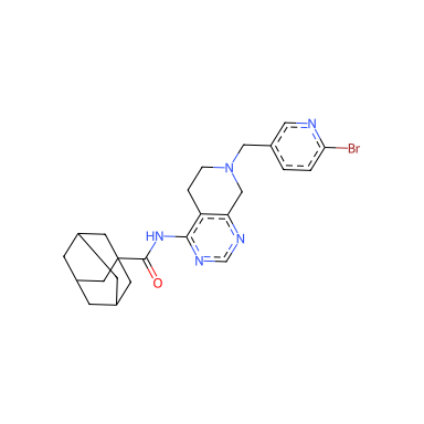 O=C(Nc1ncnc2c1CCN(Cc1ccc(Br)nc1)C2)C12CC3CC(CC(C3)C1)C2